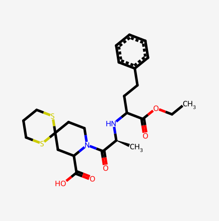 CCOC(=O)C(CCc1ccccc1)N[C@@H](C)C(=O)N1CCC2(CC1C(=O)O)SCCCS2